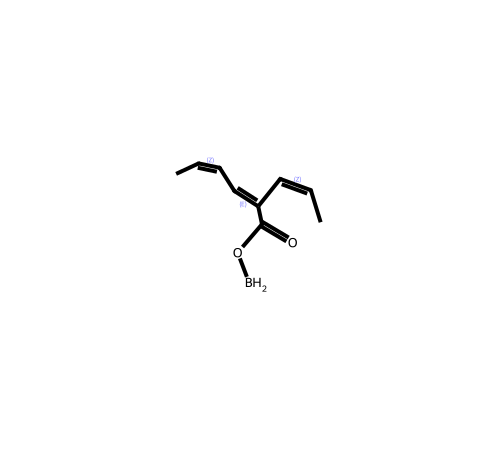 BOC(=O)C(/C=C\C)=C/C=C\C